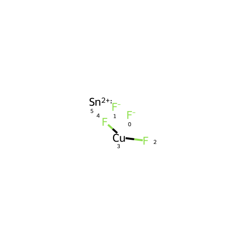 [F-].[F-].[F][Cu][F].[Sn+2]